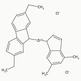 CCc1ccc2c(c1)[CH]([Zr+2][CH]1C=Cc3c(C)cc(C)cc31)c1cc(CC)ccc1-2.[Cl-].[Cl-]